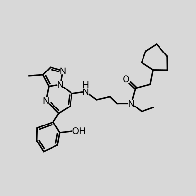 CCN(CCCNc1cc(-c2ccccc2O)nc2c(C)cnn12)C(=O)CC1CCCCC1